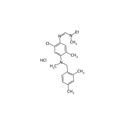 CCN(C)/C=N\c1cc(C)c(N(C)Cc2ccc(C)cc2C)cc1Cl.Cl